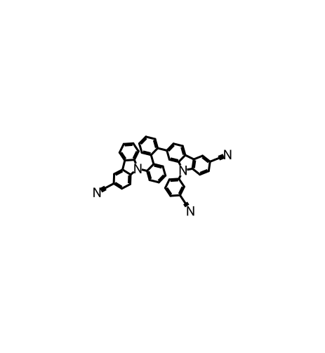 N#Cc1cccc(-n2c3ccc(C#N)cc3c3ccc(-c4ccccc4-c4ccccc4-n4c5ccccc5c5cc(C#N)ccc54)cc32)c1